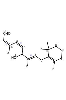 CC1=C(C/C=C(\C)C(O)/C=C\C(C)=C/[C]=O)C(C)(C)CCC1